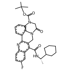 C[C@H](NC(=O)c1c(CN2CCN(C(=O)OC(C)(C)C)CC2=O)c(-c2ccccc2)nc2ccc(F)cc12)C1CCCCC1